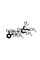 CCCCC(CC)CC(CCC)OC(C)OC(C)OC(=O)c1ccccc1C(=O)O